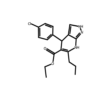 CCCC1=C(C(=O)OCC)C(c2ccc(Cl)cc2)c2c[nH]nc2N1